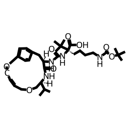 CC(C)[C@H]1COCC=CCOc2ccc(cc2)C[C@@H](NC(=O)N[C@](CCCCNC(=O)OC(C)(C)C)(C(=O)O)C(C)(C)C)C(=O)N1